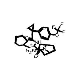 NC1CC2CCC(C1)N2C(=O)[C@H](CC1CCCCC1)NC(=O)C1(c2ccc(OC(F)(F)F)cc2)CC1